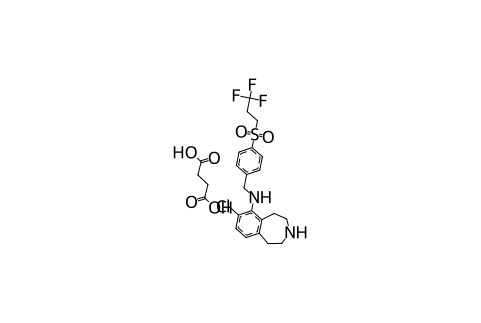 O=C(O)CCC(=O)O.O=S(=O)(CCC(F)(F)F)c1ccc(CNc2c(Cl)ccc3c2CCNCC3)cc1